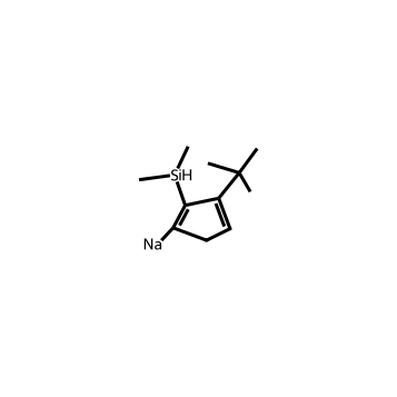 C[SiH](C)C1=[C]([Na])CC=C1C(C)(C)C